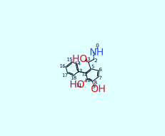 CNCC(O)c1ccc(O)c(O)c1-c1ccccc1